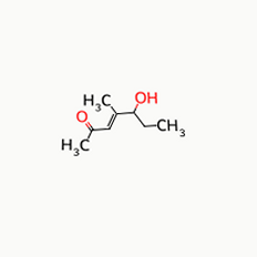 CCC(O)C(C)=CC(C)=O